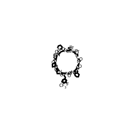 CC(C)C[C@H]1C(=O)N[C@@H](C(C)C)C(=O)N(C)CC(=O)N(C)CC(=O)N(C)[C@@H](CC2CCCCC2)C(=O)N(C)CC(=O)N[C@@H](CCc2ccc(C(F)(F)F)c(F)c2)C(=O)N2CCC[C@H]2C(=O)NC2(CCCC2)C(=O)N(C)[C@@H](CC(C)C)C(=O)N(C)[C@H](C(=O)N2CCCCC2)CC(=O)N1C